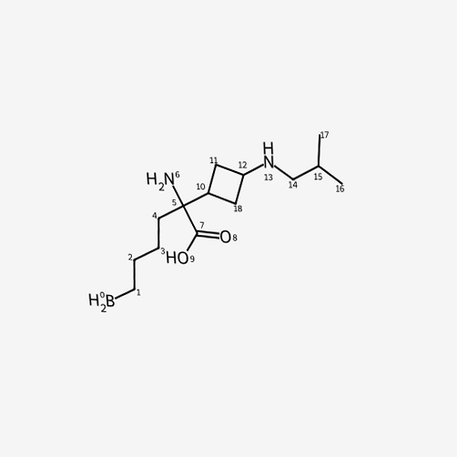 BCCCCC(N)(C(=O)O)C1CC(NCC(C)C)C1